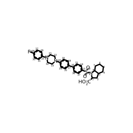 O=C(O)C1CC2CCCCC2N1S(=O)(=O)c1ccc(-c2ccc(N3CCN(c4ccc(F)cc4)CC3)cc2)cc1